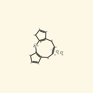 C1=CC2=[C](C1)[Zr+2][C]1=C(C=CC1)C/C=C\C2.[Cl-].[Cl-]